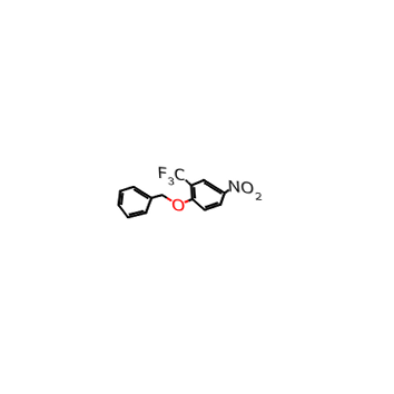 O=[N+]([O-])c1ccc(OCc2ccccc2)c(C(F)(F)F)c1